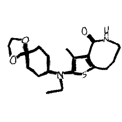 CCN(c1sc2c(c1C)C(=O)NCCC2)C1CCC2(CC1)OCCO2